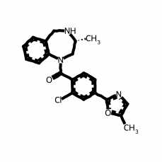 Cc1cnc(-c2ccc(C(=O)N3C[C@@H](C)NCc4ccccc43)c(Cl)c2)o1